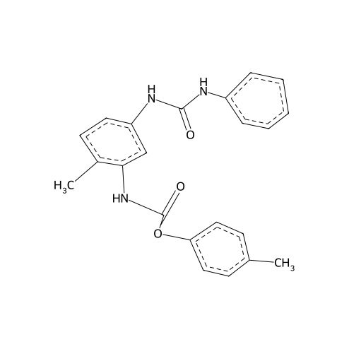 Cc1ccc(OC(=O)Nc2cc(NC(=O)Nc3ccccc3)ccc2C)cc1